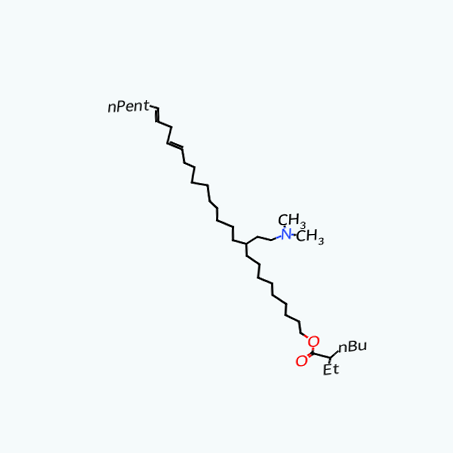 CCCCCC=CCC=CCCCCCCCCCC(CCCCCCCCCOC(=O)C(CC)CCCC)CCN(C)C